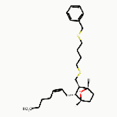 O=C(O)CCC/C=C\C[C@@H]1[C@@H](CSCCCCSCc2ccccc2)[C@@H]2CC[C@H]1O2